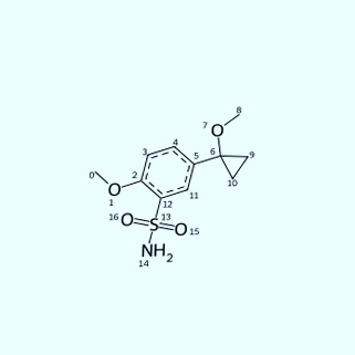 COc1ccc(C2(OC)CC2)cc1S(N)(=O)=O